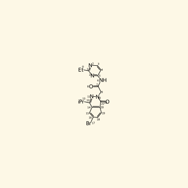 CCc1nccc(NC(=O)Cn2nc(C(C)C)c3cc(Br)ccc3c2=O)n1